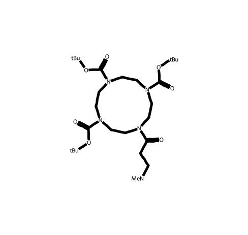 CNCCC(=O)N1CCN(C(=O)OC(C)(C)C)CCN(C(=O)OC(C)(C)C)CCN(C(=O)OC(C)(C)C)CC1